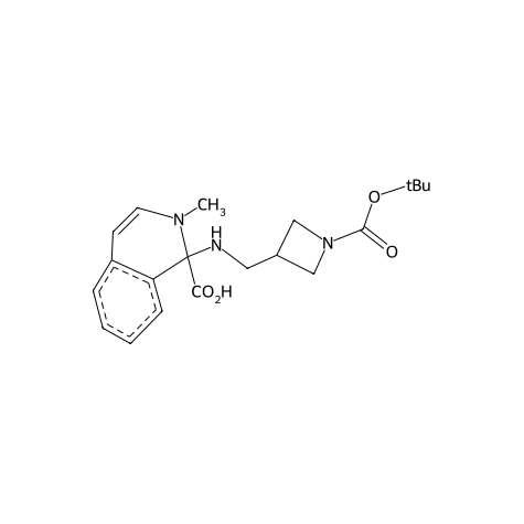 CN1C=Cc2ccccc2C1(NCC1CN(C(=O)OC(C)(C)C)C1)C(=O)O